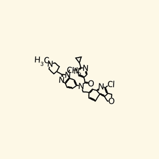 CN1CCC(c2nc3ccc(N(Cc4ccc5c6c(c(Cl)nc5c4)COC6)C(=O)c4cnc(C5CC5)nc4)cc3n2C)CC1